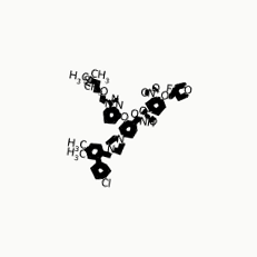 CC1(C)CCC(CN2CCN(c3ccc(C(=O)NS(=O)(=O)c4ccc(OCC5(F)CCOCC5)c([N+](=O)[O-])c4)c(Oc4cccc5c4nnn5COCC[Si](C)(C)C)c3)CC2)=C(c2ccc(Cl)cc2)C1